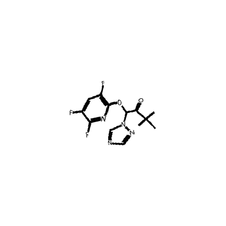 CC(C)(C)C(=O)C(Oc1nc(F)c(F)cc1F)n1cncn1